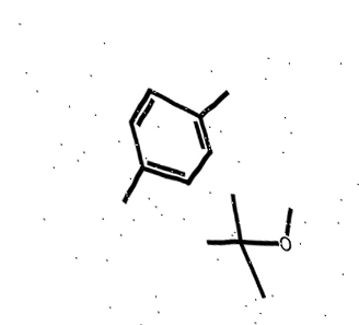 COC(C)(C)C.Cc1ccc(C)cc1